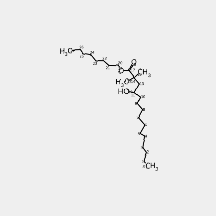 CCCCCCCCCCCC(O)CC(C)(C)C(=O)OCCCCCCCC